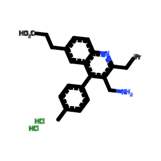 Cc1ccc(-c2c(CN)c(CC(C)C)nc3ccc(CCC(=O)O)cc23)cc1.Cl.Cl